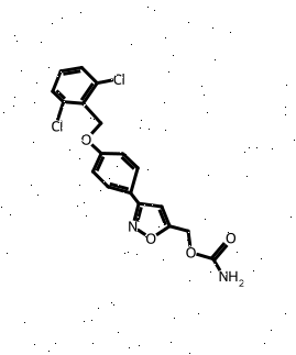 NC(=O)OCc1cc(-c2ccc(OCc3c(Cl)cccc3Cl)cc2)no1